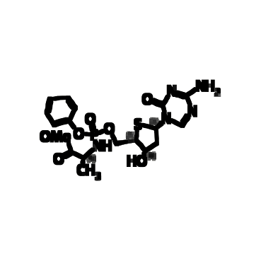 COC(=O)[C@H](C)NP(=O)(OC[C@H]1S[C@@H](n2cnc(N)nc2=O)C[C@H]1O)Oc1ccccc1